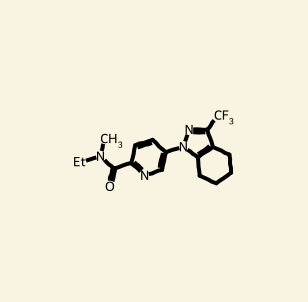 CCN(C)C(=O)c1ccc(-n2nc(C(F)(F)F)c3c2CCCC3)cn1